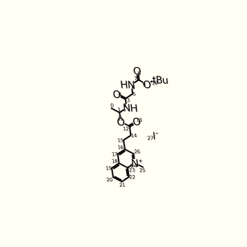 CC(NC(=O)CNC(=O)OC(C)(C)C)OC(=O)CCc1cc2ccccc2[n+](C)c1.[I-]